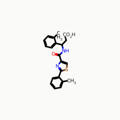 Cc1ccccc1-c1nc(C(=O)NC(CC(=O)O)c2ccccc2C)cs1